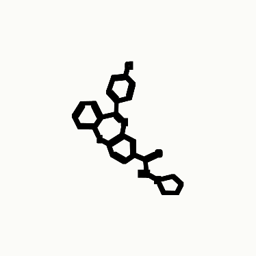 O=C(NN1CCCC1)c1ccc2c(c1)N=C(c1ccc(Cl)cc1)c1ccccc1S2